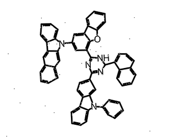 c1ccc(-n2c3ccccc3c3ccc(C4=NC(c5cccc6ccccc56)NC(c5cc(-n6c7ccccc7c7cc8ccccc8cc76)cc6c5oc5ccccc56)=N4)cc32)cc1